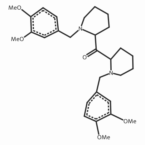 COc1ccc(CN2CCCCC2C(=O)C2CCCCN2Cc2ccc(OC)c(OC)c2)cc1OC